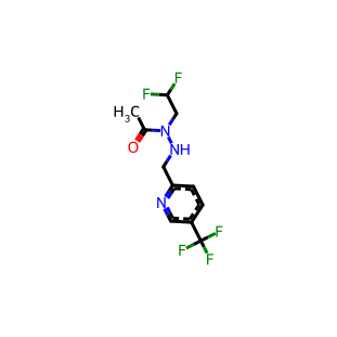 CC(=O)N(CC(F)F)NCc1ccc(C(F)(F)F)cn1